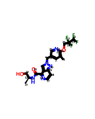 Cc1cc(Cn2cc3c(C(=O)N[C@@H](C)CO)nccc3n2)cnc1OCC(F)(F)C(F)F